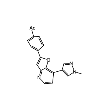 CC(=O)c1ccc(-c2cc3nccc(-c4cnn(C)c4)c3o2)cc1